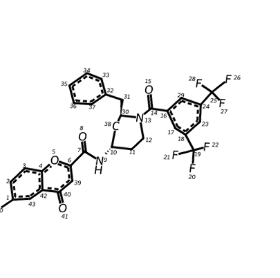 Cc1ccc2oc(C(=O)N[C@H]3CCN(C(=O)c4cc(C(F)(F)F)cc(C(F)(F)F)c4)[C@H](Cc4ccccc4)C3)cc(=O)c2c1